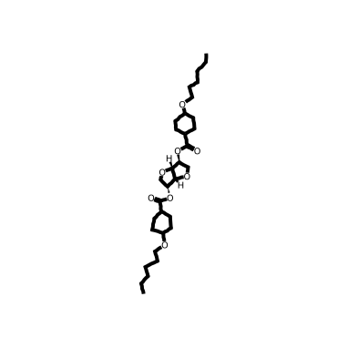 CCCCCCOC1CCC(C(=O)O[C@H]2CO[C@H]3[C@@H]2OC[C@H]3OC(=O)C2CCC(OCCCCCC)CC2)CC1